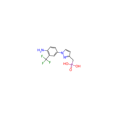 Nc1ccc(-n2ccc(CP(=O)(O)O)n2)cc1C(F)(F)F